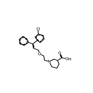 O=C(O)C1CCCN(CCOCC=C(c2ccccc2)c2cccc(Cl)c2)C1